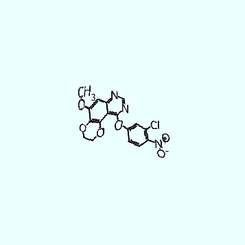 COc1cc2ncnc(Oc3ccc([N+](=O)[O-])c(Cl)c3)c2c2c1OCCO2